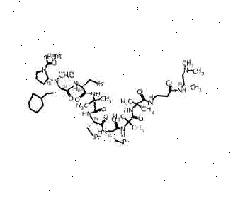 CCCCCC(=O)N1CCC[C@H]1N(C=O)[C@@H](CCC1CCCCC1)C(=O)N[C@@H](CC(C)C)C(=O)NC(C)(C)C(=O)N[C@@H](CC(C)C)C(=O)N[C@@H](CC(C)C)C(=O)NC(C)(C)C(=O)NC(C)(C)C(=O)NCCC(=O)N[C@@H](C)CN(C)C